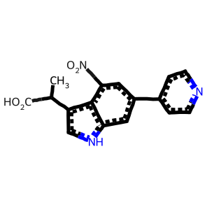 CC(C(=O)O)c1c[nH]c2cc(-c3ccncc3)cc([N+](=O)[O-])c12